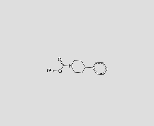 CC(C)(C)OC(=O)N1CCC(c2ccccc2)CC1